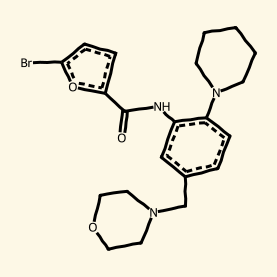 O=C(Nc1cc(CN2CCOCC2)ccc1N1CCCCC1)c1ccc(Br)o1